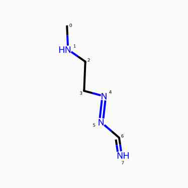 CNCC/N=N/C=N